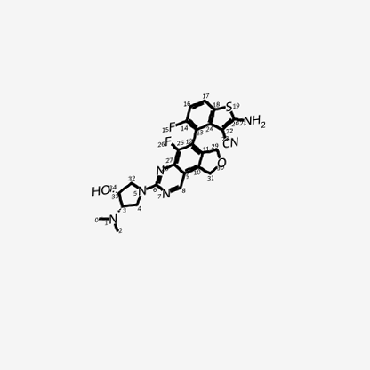 CN(C)[C@H]1CN(c2ncc3c4c(c(-c5c(F)ccc6sc(N)c(C#N)c56)c(F)c3n2)COC4)C[C@H]1O